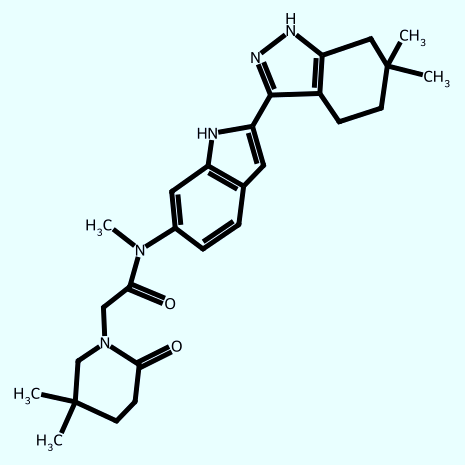 CN(C(=O)CN1CC(C)(C)CCC1=O)c1ccc2cc(-c3n[nH]c4c3CCC(C)(C)C4)[nH]c2c1